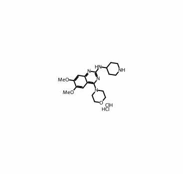 COc1cc2nc(NC3CCNCC3)nc(N3CCOCC3)c2cc1OC.Cl.Cl